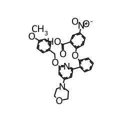 COc1ccc(COc2cc(N3CCOCC3)cc(-c3ccccc3Oc3ccc([N+](=O)[O-])cc3C(=O)O)n2)cc1